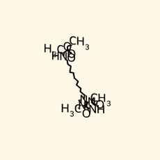 CCOC(=O)C(C)NC(=O)CCCCCCCCCCN1CN(C)c2c1n(C)c(=O)[nH]c2=O